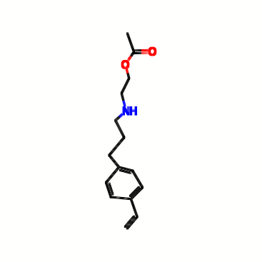 C=Cc1ccc(CCCNCCOC(C)=O)cc1